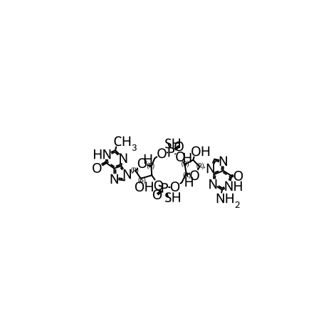 Cc1nc2c(ncn2[C@@H]2O[C@@H]3COP(=O)(S)O[C@@H]4C(O)[C@H](n5cnc6c(=O)[nH]c(N)nc65)O[C@@H]4COP(=O)(S)OC3[C@@H]2O)c(=O)[nH]1